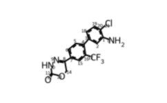 Nc1cc(-c2ccc(C3=NNC(=O)OC3)cc2C(F)(F)F)ccc1Cl